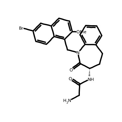 COc1ccc2cc(Br)ccc2c1CN1C(=O)[C@@H](NC(=O)CN)CCc2ccccc21